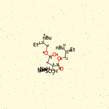 CCCCC(CC)COC(=O)CC(C(=O)OCC(CC)CCCC)S(=O)(=O)O.[NaH].[NaH]